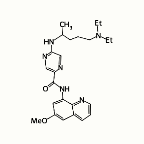 CCN(CC)CCCC(C)Nc1cnc(C(=O)Nc2cc(OC)cc3cccnc23)cn1